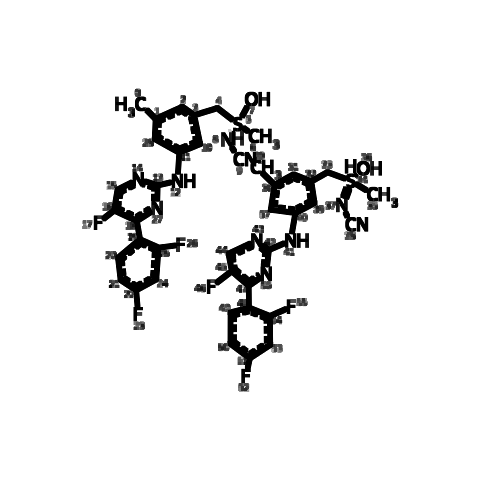 Cc1cc(C[SH](C)(O)=NC#N)cc(Nc2ncc(F)c(-c3ccc(F)cc3F)n2)c1.Cc1cc(C[SH](C)(O)=NC#N)cc(Nc2ncc(F)c(-c3ccc(F)cc3F)n2)c1